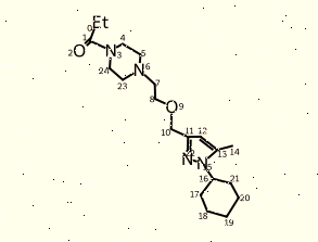 CCC(=O)N1CCN(CCOCc2cc(C)n(C3CCCCC3)n2)CC1